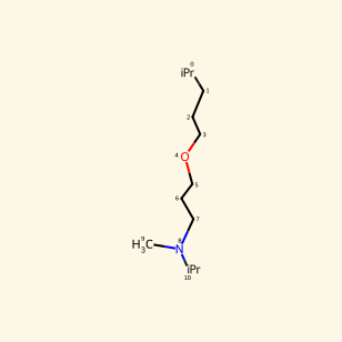 CC(C)CCCOCCCN(C)C(C)C